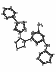 Cc1cc(Nc2cnccn2)nc(N2CCCC2c2cc(-c3ccccn3)no2)n1